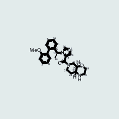 COc1ccccc1-c1ccccc1[C@H](C)n1cncc1C(=O)N1CC[C@H]2NCCO[C@@H]2C1